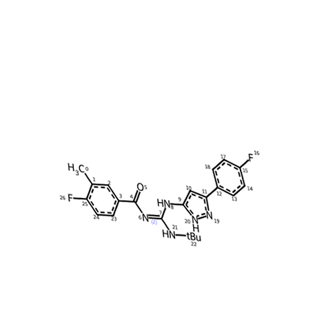 Cc1cc(C(=O)/N=C(\Nc2cc(-c3ccc(F)cc3)n[nH]2)NC(C)(C)C)ccc1F